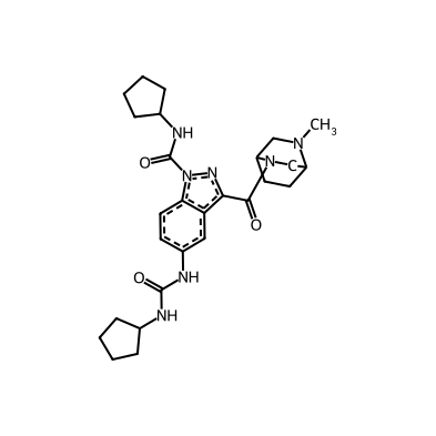 CN1CC2CCC1CN2C(=O)c1nn(C(=O)NC2CCCC2)c2ccc(NC(=O)NC3CCCC3)cc12